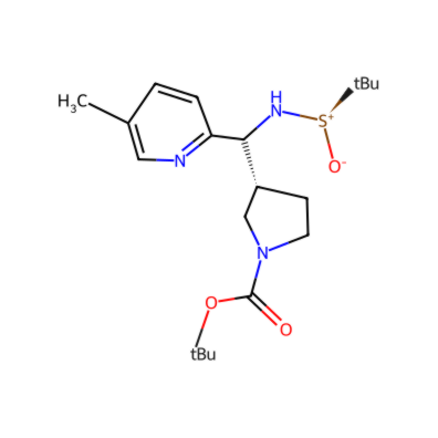 Cc1ccc(C(N[S@+]([O-])C(C)(C)C)[C@@H]2CCN(C(=O)OC(C)(C)C)C2)nc1